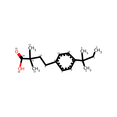 CCC(C)(C)c1ccc(CCC(C)(C)C(=O)O)cc1